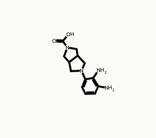 Nc1cccc(N2CC3CN(C(=O)O)CC3C2)c1N